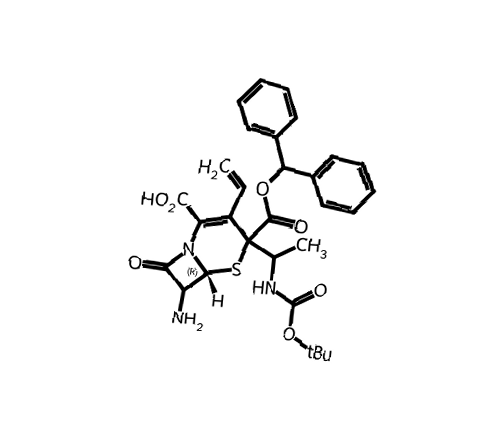 C=CC1=C(C(=O)O)N2C(=O)C(N)[C@H]2SC1(C(=O)OC(c1ccccc1)c1ccccc1)C(C)NC(=O)OC(C)(C)C